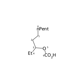 CCCCCCCC(CC)OC(=O)O